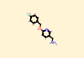 NCc1ccc(OCc2ccc(F)cc2)nc1